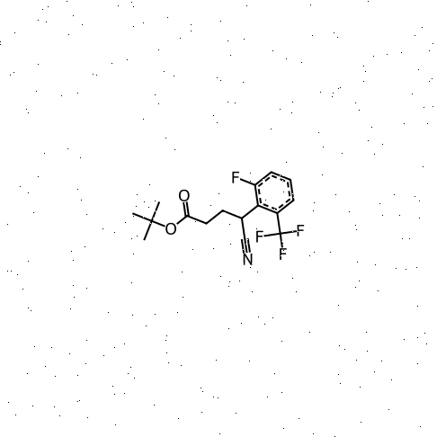 CC(C)(C)OC(=O)CCC(C#N)c1c(F)cccc1C(F)(F)F